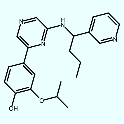 CCCC(Nc1cncc(-c2ccc(O)c(OC(C)C)c2)n1)c1cccnc1